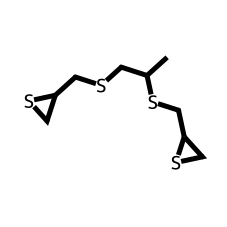 CC(CSCC1CS1)SCC1CS1